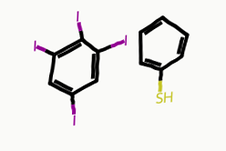 Ic1cc(I)c(I)c(I)c1.Sc1ccccc1